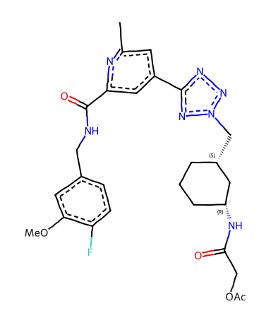 COc1cc(CNC(=O)c2cc(-c3nnn(C[C@H]4CCC[C@@H](NC(=O)COC(C)=O)C4)n3)cc(C)n2)ccc1F